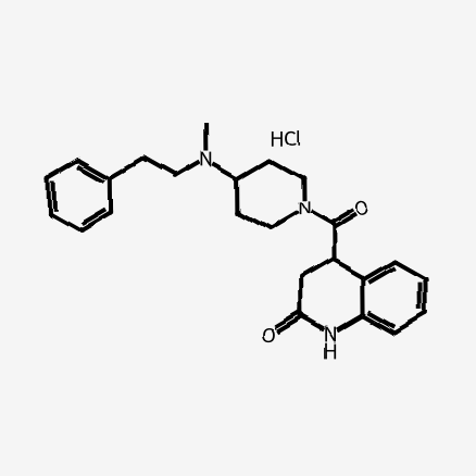 CN(CCc1ccccc1)C1CCN(C(=O)C2CC(=O)Nc3ccccc32)CC1.Cl